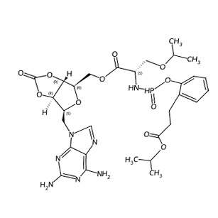 CC(C)OC[C@H](N[PH](=O)Oc1ccccc1CCC(=O)OC(C)C)C(=O)OC[C@H]1O[C@@H](Cn2cnc3c(N)nc(N)nc32)[C@H]2OC(=O)O[C@@H]21